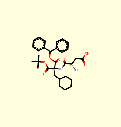 CC(C)(C)OC(=O)[C@@](CC1CCCCC1)(NC(=O)[C@@H](N)CC(=O)O)C(=O)OC(c1ccccc1)c1ccccc1